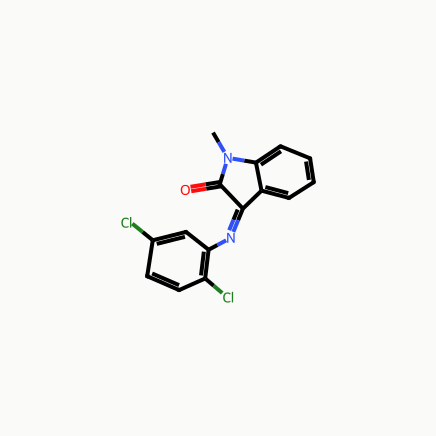 CN1C(=O)C(=Nc2cc(Cl)ccc2Cl)c2ccccc21